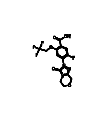 O=C(O)c1cc(F)c(-n2nc3n(c2=O)CCOC3)cc1OCC(F)(F)F